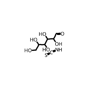 N=C=S.O=CC(O)C(O)C(O)C(O)CO